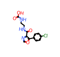 O=C(O)NCCNC(=O)c1ncoc1-c1ccc(Cl)cc1